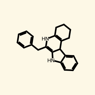 c1ccc(CC2=C3Nc4ccccc4C3C3=C(CCCC3)N2)cc1